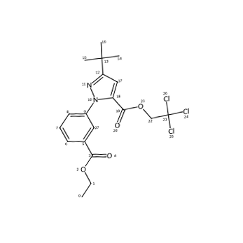 CCOC(=O)c1cccc(-n2nc(C(C)(C)C)cc2C(=O)OCC(Cl)(Cl)Cl)c1